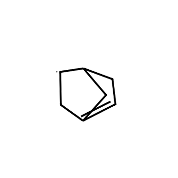 [CH]1CC2=CCC1C2